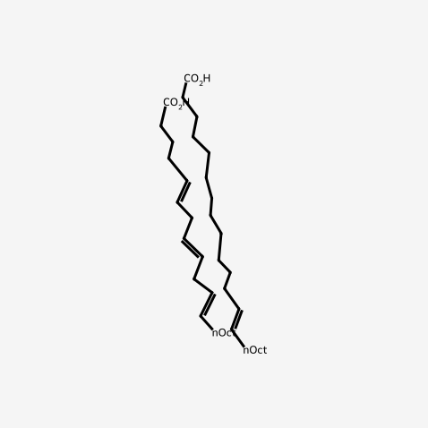 CCCCCCCCC=CCC=CCC=CCCCC(=O)O.CCCCCCCCC=CCCCCCCCCCCCC(=O)O